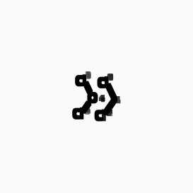 ClCCl.ClOCl